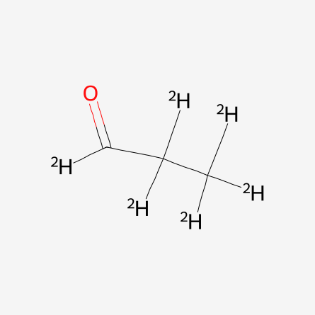 [2H]C(=O)C([2H])([2H])C([2H])([2H])[2H]